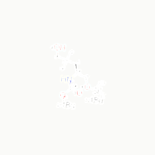 CC(C)(CO)C[C@@H](CO[Si](C)(C)C(C)(C)C)NC(=O)OC(C)(C)C